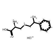 CC(CSC[C@H](N)C(=O)O)c1ccccc1.Cl